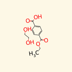 CCOC(=O)c1ccc(C(=O)O)cc1.OCCO